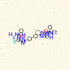 CCN[C@@H](C(=O)N1CCC[C@H]1c1nc2c([nH]1)CCCc1cc(-c3ccc(-c4cnc([C@@H]5CC(F)(F)CN5C(=O)[C@H](N)c5ccccc5)[nH]4)cc3)ccc1-2)c1ccccc1